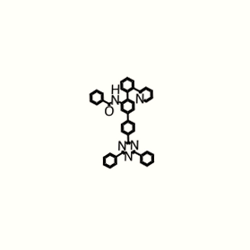 O=C(Nc1cc(-c2ccc(-c3nc(-c4ccccc4)nc(-c4ccccc4)n3)cc2)ccc1-c1ccccc1-c1ccccn1)c1ccccc1